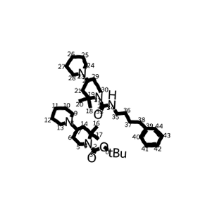 CC(C)(C)OC(=O)N1CCC(N2CCCCC2)CC1(C)C.CC1(C)CC(N2CCCCC2)CCN1C(=O)NCCCCc1ccccc1